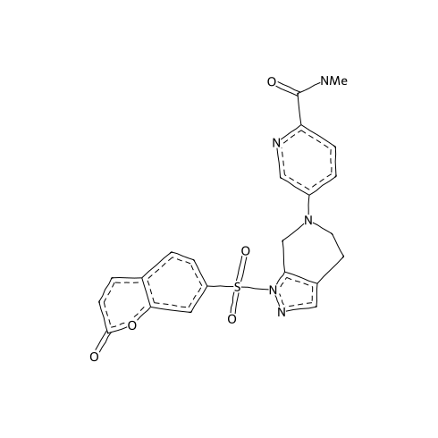 CNC(=O)c1ccc(N2CCc3cnn(S(=O)(=O)c4ccc5ccc(=O)oc5c4)c3C2)cn1